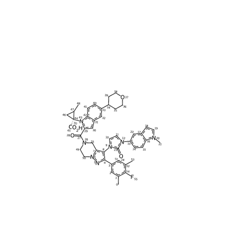 Cc1cc(-c2nn3c(c2-n2ccn(-c4ccc5c(ccn5C)c4)c2=O)CN(C(=O)c2cc4cc(C5CCOCC5)ccc4n2[C@@]2(C(=O)O)CC2C)CC3)cc(C)c1F